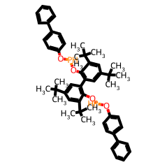 CC(C)(C)c1cc(-c2cc(C(C)(C)C)cc(C(C)(C)C)c2OPOc2ccc(-c3ccccc3)cc2)c(OPOc2ccc(-c3ccccc3)cc2)c(C(C)(C)C)c1